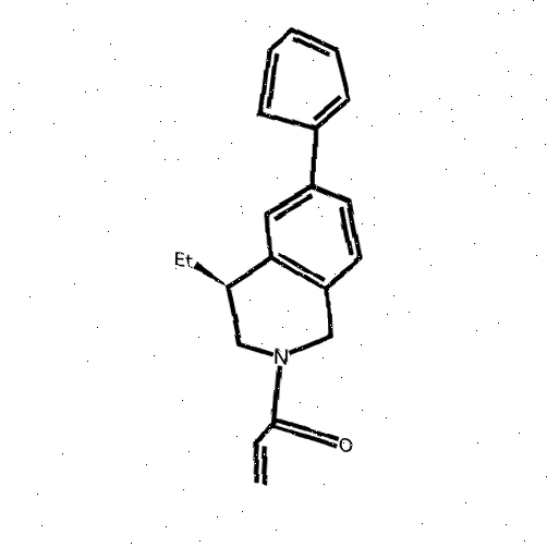 C=CC(=O)N1Cc2ccc(-c3ccccc3)cc2[C@H](CC)C1